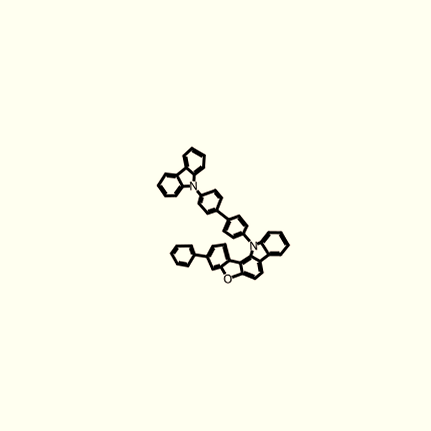 c1ccc(-c2ccc3c(c2)oc2ccc4c5ccccc5n(-c5ccc(-c6ccc(-n7c8ccccc8c8ccccc87)cc6)cc5)c4c23)cc1